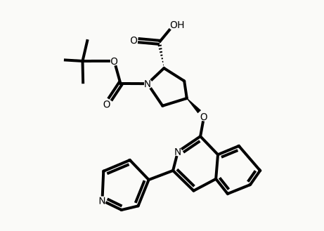 CC(C)(C)OC(=O)N1C[C@H](Oc2nc(-c3ccncc3)cc3ccccc23)C[C@H]1C(=O)O